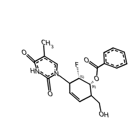 Cc1cn(C2C=CC(CO)[C@@H](OC(=O)c3ccccc3)[C@H]2F)c(=O)[nH]c1=O